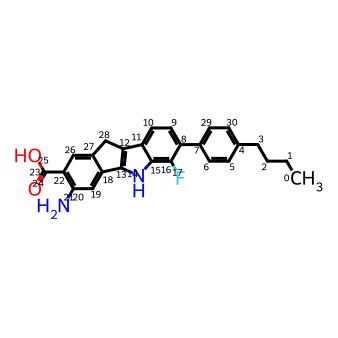 CCCCc1ccc(-c2ccc3c4c([nH]c3c2F)-c2cc(N)c(C(=O)O)cc2C4)cc1